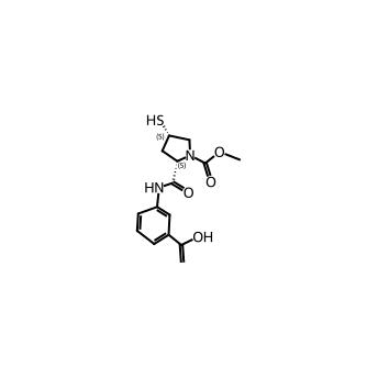 C=C(O)c1cccc(NC(=O)[C@@H]2C[C@H](S)CN2C(=O)OC)c1